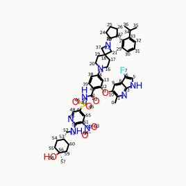 Cc1nc2[nH]cc(F)c2cc1Oc1cc(N2CCC3(CC2)CN([C@@H]2CCC[C@@H]2c2ccccc2C(C)C)C3)ccc1C(=O)NS(=O)(=O)c1cnc(NC[C@H]2CC[C@](C)(O)CC2)c([N+](=O)[O-])c1